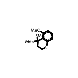 COc1cccc2c1C(SC)(SC)CCO2